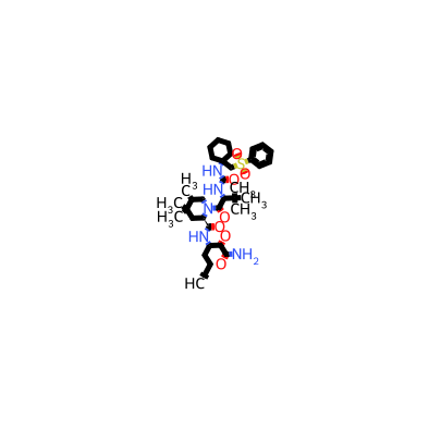 C#CCCC(NC(=O)[C@@H]1CC(C)(C)C(C)CN1C(=O)C(NC(=O)NC1(CS(=O)(=O)c2ccccc2)CCCCC1)C(C)(C)C)C(=O)C(N)=O